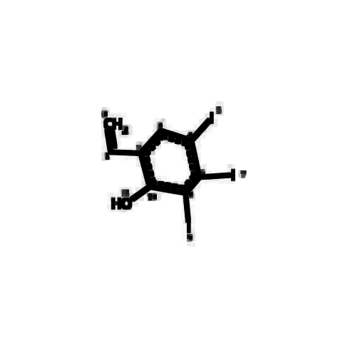 C=Cc1cc(I)c(I)c(I)c1O